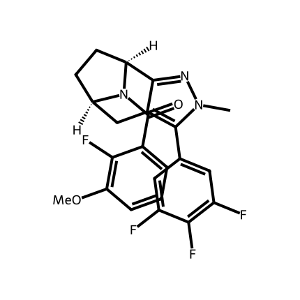 COc1cccc(C(=O)N2[C@@H]3CC[C@H]2c2nn(C)c(-c4cc(F)c(F)c(F)c4)c2C3)c1F